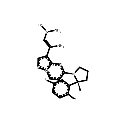 CC(C)N(N)/C=C(\N)c1cnn2ccc(N3CCC[C@]3(C)c3cc(F)ccc3F)nc12